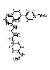 COc1ccc(-c2ccc3ncnc(NCC(=O)NC4CCC(NC(C)(C)C)CC4)c3c2)cc1